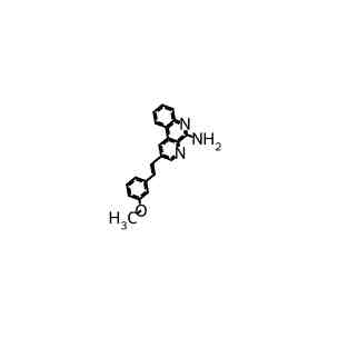 COc1cccc(/C=C/c2cnc3c(N)nc4ccccc4c3c2)c1